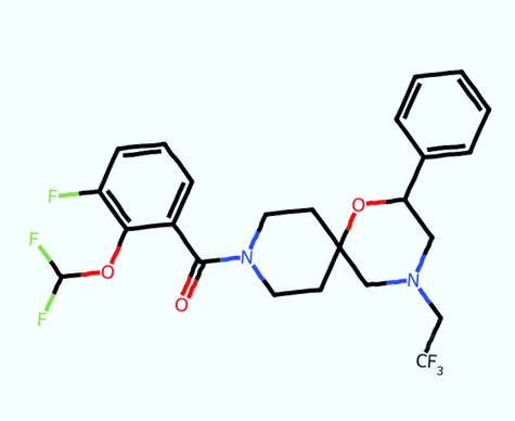 O=C(c1cccc(F)c1OC(F)F)N1CCC2(CC1)CN(CC(F)(F)F)CC(c1ccccc1)O2